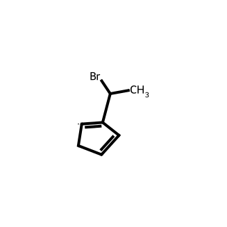 CC(Br)C1=[C]CC=C1